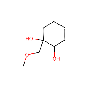 COCC1(O)CCCCC1O